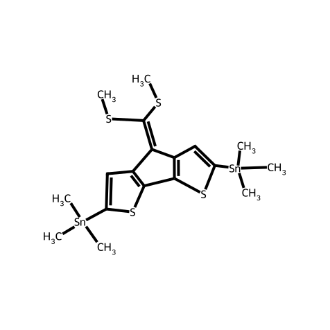 CSC(SC)=C1c2c[c]([Sn]([CH3])([CH3])[CH3])sc2-c2s[c]([Sn]([CH3])([CH3])[CH3])cc21